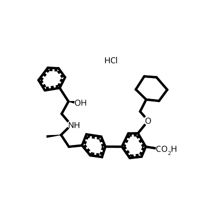 C[C@H](Cc1ccc(-c2ccc(C(=O)O)c(OCC3CCCCC3)c2)cc1)NC[C@H](O)c1ccccc1.Cl